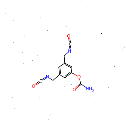 NC(=O)Oc1cc(CN=C=O)cc(CN=C=O)c1